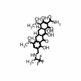 CC(NCc1cc(N(C)C)c2c(c1O)C(=O)C1=C(O)[C@]3(O)C(=O)C(C(N)=O)=C(O)C(N(C)C)[C@@H]3C[C@@H]1C2)C(F)(F)F